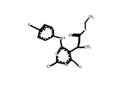 CCOC(=O)C(C)c1c(Cl)nc(Cl)nc1Nc1ccc(F)cc1